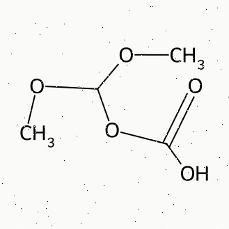 COC(OC)OC(=O)O